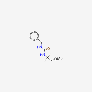 COCC(C)(C)NC(=S)NCc1ccccc1